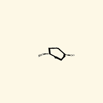 CS[C@H]1CC[C@@H](O)CC1